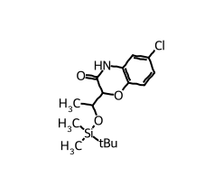 CC(O[Si](C)(C)C(C)(C)C)C1Oc2ccc(Cl)cc2NC1=O